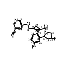 N#Cc1cncc(OCC23CC(C(=O)N4CC(F)CC4c4cccc(F)c4)(C2)C3)n1